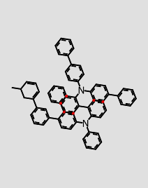 CC1C=CC=C(c2cccc(-c3ccc(N(c4ccccc4)c4ccccc4-c4ccccc4N(c4ccc(-c5ccccc5)cc4)c4ccc(-c5ccccc5)cc4)cc3-c3ccccc3)c2)C1